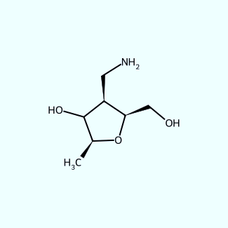 C[C@@H]1O[C@H](CO)[C@H](CN)C1O